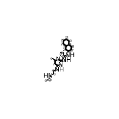 CSNCCNc1cc(C)nc(NC(=O)Nc2ccc3ccccc3c2)n1